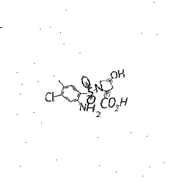 Cc1cc(S(=O)(=O)N2C[C@@H](O)C[C@@H]2C(=O)O)c(N)cc1Cl